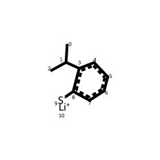 CC(C)c1ccccc1[S-].[Li+]